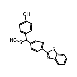 N#CSC(c1ccc(O)cc1)c1ccc(-c2nc3ccccc3s2)cc1